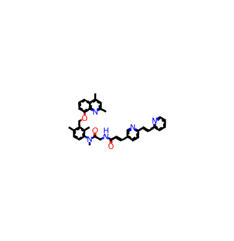 Cc1cc(C)c2cccc(OCc3c(C)ccc(N(C)C(=O)CNC(=O)C=Cc4ccc(C=Cc5ccccn5)nc4)c3C)c2n1